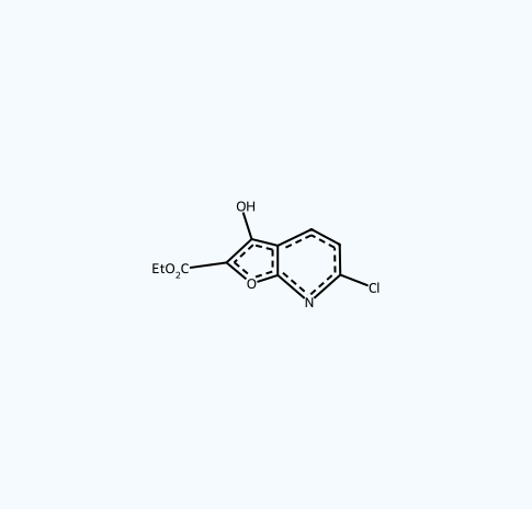 CCOC(=O)c1oc2nc(Cl)ccc2c1O